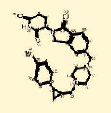 O=C1CCC(N2Cc3cc(CN4CCN(CC5CC5c5ccc(Br)cc5)CC4)ccc3C2=O)C(=O)N1